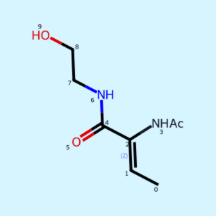 C/C=C(\NC(C)=O)C(=O)NCCO